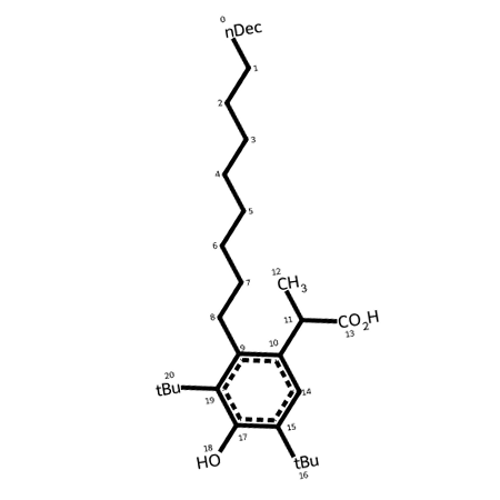 CCCCCCCCCCCCCCCCCCc1c(C(C)C(=O)O)cc(C(C)(C)C)c(O)c1C(C)(C)C